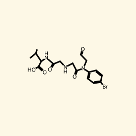 CC(C)C(NC(=O)CNCC(=O)N(CC=O)c1ccc(Br)cc1)C(=O)O